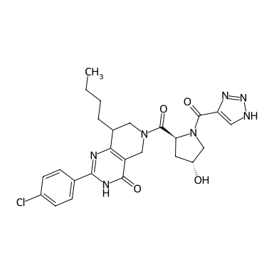 CCCCC1CN(C(=O)[C@@H]2C[C@@H](O)CN2C(=O)c2c[nH]nn2)Cc2c1nc(-c1ccc(Cl)cc1)[nH]c2=O